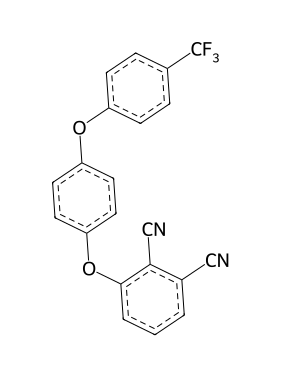 N#Cc1cccc(Oc2ccc(Oc3ccc(C(F)(F)F)cc3)cc2)c1C#N